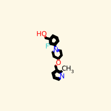 Cc1ncccc1COC1CCN(c2cccc(CO)c2F)CC1